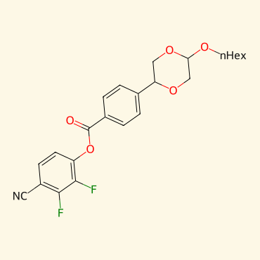 CCCCCCOC1COC(c2ccc(C(=O)Oc3ccc(C#N)c(F)c3F)cc2)CO1